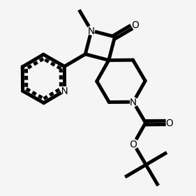 CN1C(=O)C2(CCN(C(=O)OC(C)(C)C)CC2)C1c1ccccn1